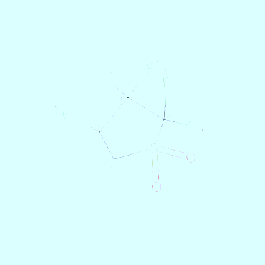 CC1(F)C(F)CS(=O)(=O)C1(F)F